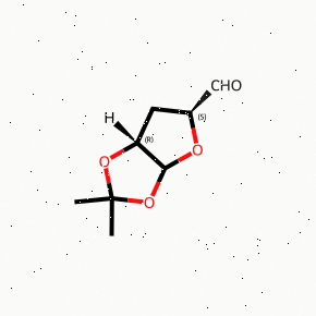 CC1(C)OC2O[C@H](C=O)C[C@H]2O1